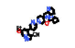 CCOc1cc(-c2ccc(N3CCC(Cc4ccccn4)(NC(=O)C4CCCC4)CC3)nc2)c2c(C#N)cnn2c1